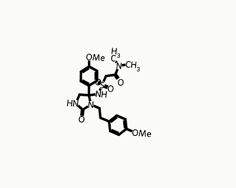 COc1ccc(CCN2C(=O)NCC2(NS(=O)(=O)CC(=O)N(C)C)c2ccc(OC)cc2)cc1